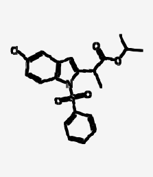 CC(C)OC(=O)C(C)c1cc2cc(Cl)ccc2n1S(=O)(=O)c1ccccc1